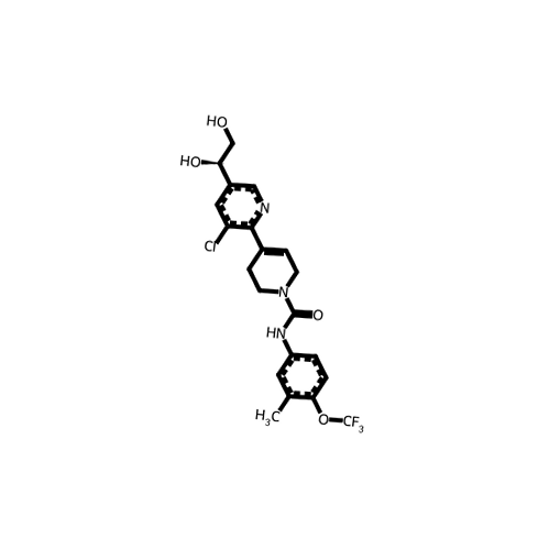 Cc1cc(NC(=O)N2CC=C(c3ncc([C@@H](O)CO)cc3Cl)CC2)ccc1OC(F)(F)F